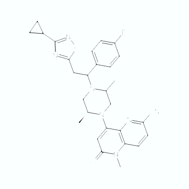 CC1CN(c2cc(=O)n(C)c3ccc(C#N)nc23)[C@@H](C)CN1C(Cc1nc(C2CC2)no1)c1ccc(F)cc1